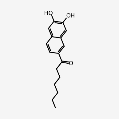 CCCCCCC(=O)c1ccc2cc(O)c(O)cc2c1